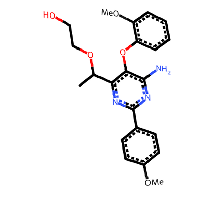 COc1ccc(-c2nc(N)c(Oc3ccccc3OC)c(C(C)OCCO)n2)cc1